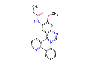 CCC(=O)Nc1cc2c(-c3cccnc3-c3ccccc3)ncnc2cc1OC